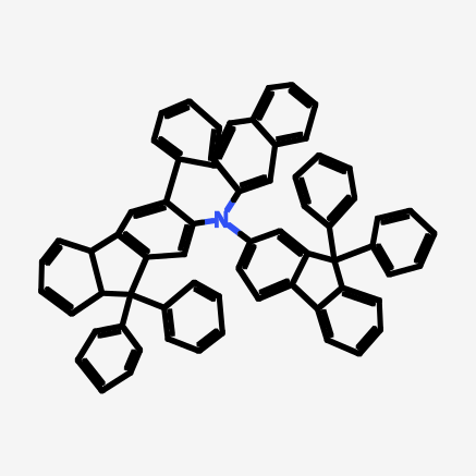 C1=CC2c3cc(-c4ccccc4)c(N(c4ccc5c(c4)C(c4ccccc4)(c4ccccc4)c4ccccc4-5)c4ccc5ccccc5c4)cc3C(c3ccccc3)(c3ccccc3)C2C=C1